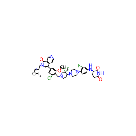 C/C=C/Cn1cc(-c2cc(Cl)c(CN3CCC(N4CCN(c5ccc(NC6CCC(=O)NC6=O)cc5F)CC4)C(F)(F)C3)c(OC)c2)c2ccncc2c1=O